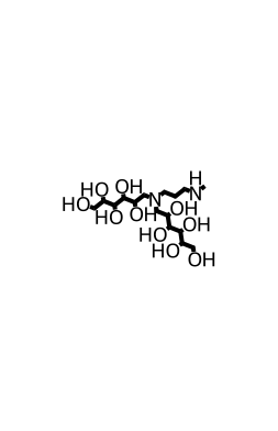 CNCCCN(CC(O)C(O)C(O)C(O)CO)CC(O)C(O)C(O)C(O)CO